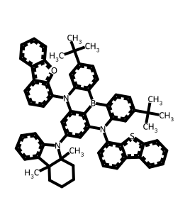 CC(C)(C)c1ccc2c(c1)N(c1cccc3c1oc1ccccc13)c1cc(N3c4ccccc4C4(C)CCCCC34C)cc3c1B2c1ccc(C(C)(C)C)cc1N3c1cccc2c1sc1ccccc12